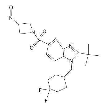 CC(C)(C)c1nc2cc(S(=O)(=O)N3CC(N=O)C3)ccc2n1CC1CCC(F)(F)CC1